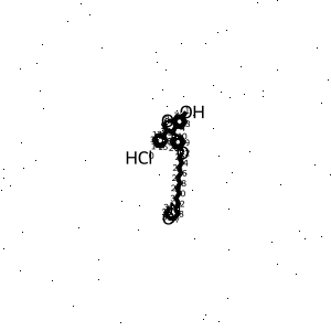 Cl.Oc1ccc2c(c1)OCC(c1ccccc1)C2c1ccc(OCCCCCCCCCCN2CCOCC2)cc1